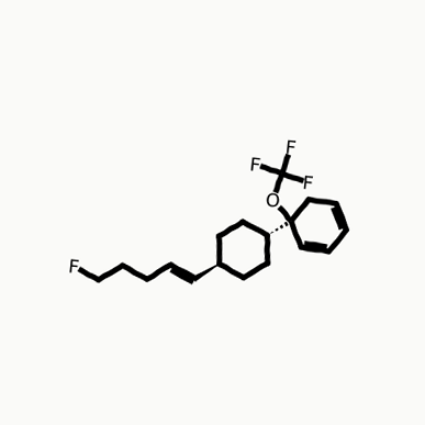 FCCCC=C[C@H]1CC[C@H](C2(OC(F)(F)F)C=CC=CC2)CC1